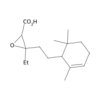 CCC1(CCC2C(C)=CCCC2(C)C)OC1C(=O)O